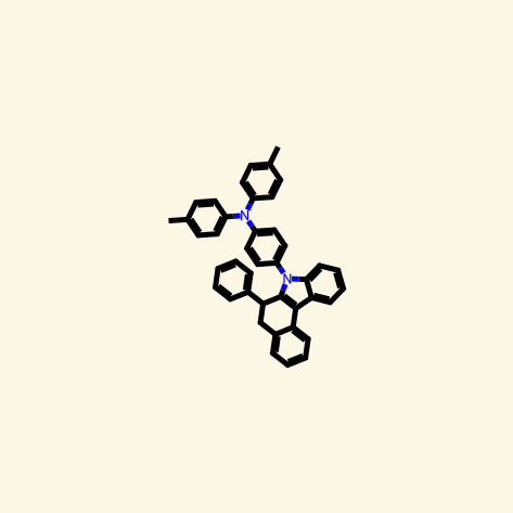 Cc1ccc(N(c2ccc(C)cc2)c2ccc(-n3c4c(c5ccccc53)-c3ccccc3CC4c3ccccc3)cc2)cc1